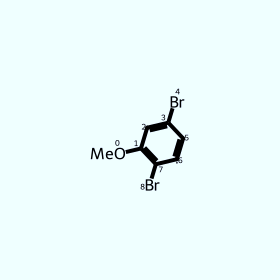 COc1cc(Br)c[c]c1Br